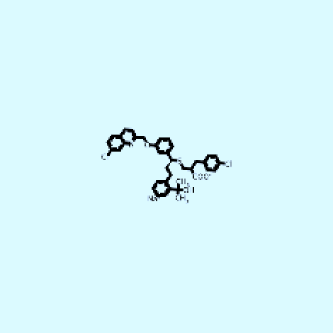 CC(C)(O)c1ccccc1CC[C@H](SCC(Cc1ccc(Cl)cc1)C(=O)[O-])c1cccc(OCc2ccc3ccc(Cl)cc3n2)c1.[Na+]